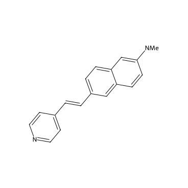 CNc1ccc2cc(/C=C/c3ccncc3)ccc2c1